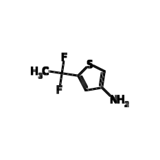 CC(F)(F)c1cc(N)cs1